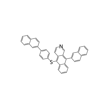 c1ccc2cc(-c3ccc(Sc4c5ccccc5c(-c5ccc6ccccc6c5)c5cnccc45)cc3)ccc2c1